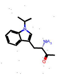 CC(=O)[C@@H](N)Cc1cn(C(C)C)c2ccccc12